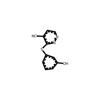 N#Cc1ccnnc1Sc1cccc(O)c1